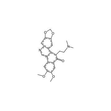 COc1cc2c(=O)c(CCN(C)C)c3c4cc5c(cc4ncn3c2cc1OC)OCO5